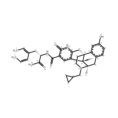 C/C=C\C(=C/C)C[C@H](NC(=O)c1cc2c([nH]c1=O)C[C@]13CCN(CC4CC4)[C@H](Cc4ccc(O)cc41)[C@@H]3C2)C(N)=O